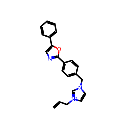 C=CC[n+]1ccn(Cc2ccc(-c3ncc(-c4ccccc4)o3)cc2)c1